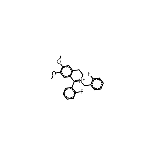 COc1cc2c(cc1OC)C(c1ccccc1F)=[N+](Cc1ccccc1F)CC2